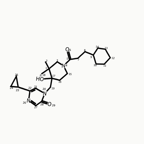 CC1(C)CN(C(=O)CCC2CCCCC2)CCC1(O)Cn1cc(C2CC2)ncc1=O